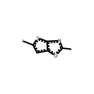 Cc1nc2sc(I)cc2o1